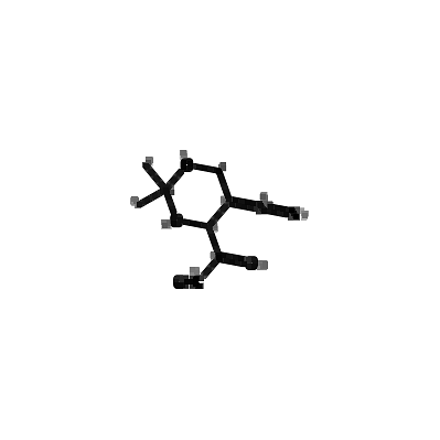 CC1(C)OCC(=[N+]=[N-])C(C(=O)C=O)O1